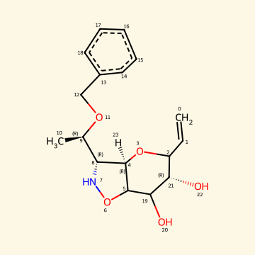 C=CC1O[C@H]2C(ON[C@@H]2[C@@H](C)OCc2ccccc2)C(O)[C@H]1O